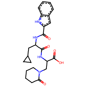 O=C(NC(CC1CC1)C(=O)NC(CN1CCCCC1=O)C(=O)O)c1cc2ccccc2[nH]1